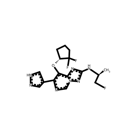 C[C@@H](CF)Nc1nc2c(O[C@@H]3CCCC3(F)F)c(-c3cn[nH]c3)ncn2n1